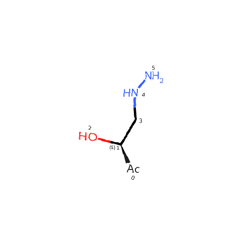 CC(=O)[C@@H](O)CNN